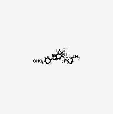 Cc1cccc(C(=O)Nc2cc3cn([C@H]4CC[C@H](CC=O)CC4)nc3cc2C(C)(C)O)n1